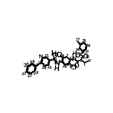 CCC(C(=O)Nc1cc(O)c(NC(=O)c2ccc(-c3ccccc3)cc2)cc1Cl)S(=O)(=O)c1cccc(C)c1